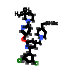 CC(=O)NCC1CCN(Cc2cc(Oc3ccc(N4CCCC(C)(C)C4)nc3)nc(-c3cc(Cl)cc(Cl)c3)c2)CC1